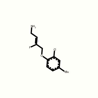 CC(C)(C)c1ccc(OC/C(F)=C/CN)c(Cl)c1